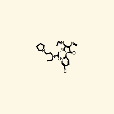 C=NC1=C(/N=C\C)[C@@H](CC(=O)N(CC)CCN2CCCC2)N(c2ccc(Cl)cn2)C1=O